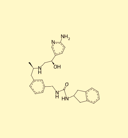 C[C@H](Cc1cccc(CNC(=O)NC2Cc3ccccc3C2)c1)NC[C@H](O)c1ccc(N)nc1